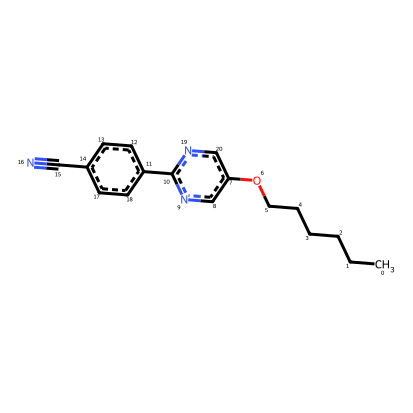 CCCCCCOc1cnc(-c2ccc(C#N)cc2)nc1